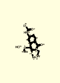 CCCCOc1c(CN)n(CC(C)C)c(=O)c2ccc(NC(=O)CC)cc12.Cl